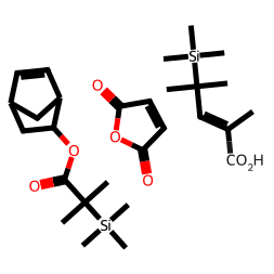 CC(=CC(C)(C)[Si](C)(C)C)C(=O)O.CC(C)(C(=O)OC1CC2C=CC1C2)[Si](C)(C)C.O=C1C=CC(=O)O1